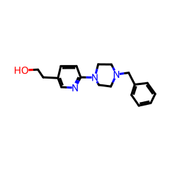 OCCc1ccc(N2CCN(Cc3ccccc3)CC2)nc1